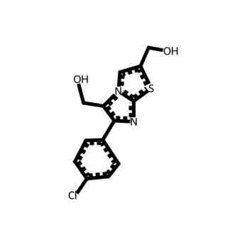 OCc1cn2c(CO)c(-c3ccc(Cl)cc3)nc2s1